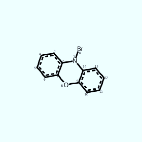 BrN1c2ccccc2Oc2ccccc21